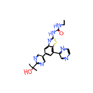 CCNC(=O)Nc1nc2cc(-c3cnc(C(C)(C)O)nc3)cc(-c3cnccn3)c2s1